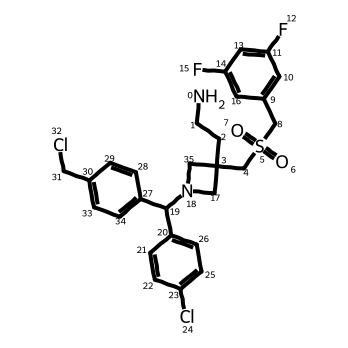 NCCC1(CS(=O)(=O)Cc2cc(F)cc(F)c2)CN(C(c2ccc(Cl)cc2)c2ccc(CCl)cc2)C1